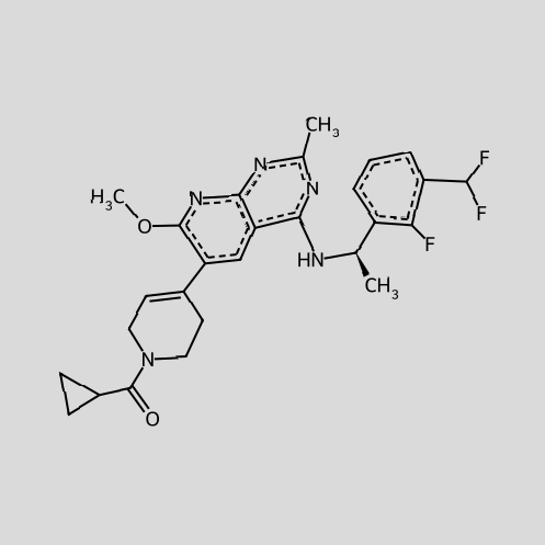 COc1nc2nc(C)nc(N[C@H](C)c3cccc(C(F)F)c3F)c2cc1C1=CCN(C(=O)C2CC2)CC1